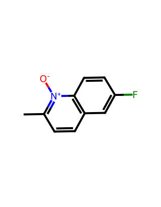 Cc1ccc2cc(F)ccc2[n+]1[O-]